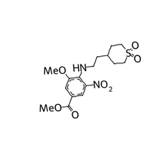 COC(=O)c1cc(OC)c(NCCC2CCS(=O)(=O)CC2)c([N+](=O)[O-])c1